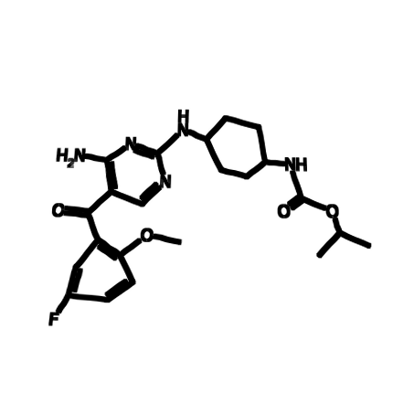 COc1ccc(F)cc1C(=O)c1cnc(NC2CCC(NC(=O)OC(C)C)CC2)nc1N